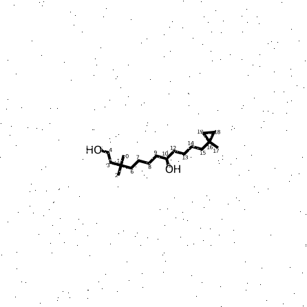 CC(C)(CCO)CCCCC(O)CCCCC1(C)CC1